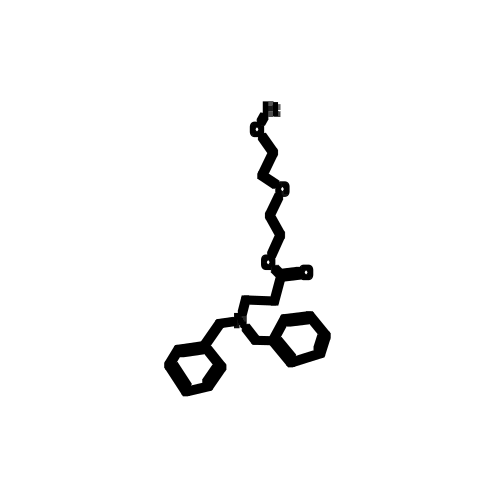 CCOCCOCCOC(=O)CCN(Cc1ccccc1)Cc1ccccc1